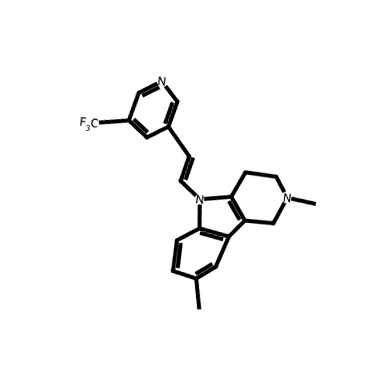 Cc1ccc2c(c1)c1c(n2/C=C/c2cncc(C(F)(F)F)c2)CCN(C)C1